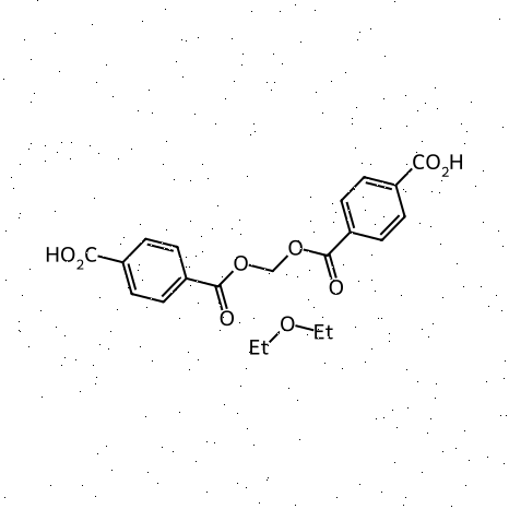 CCOCC.O=C(O)c1ccc(C(=O)OCOC(=O)c2ccc(C(=O)O)cc2)cc1